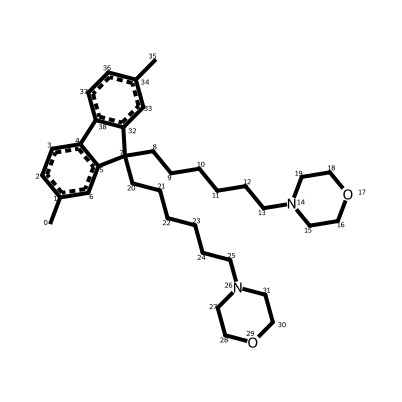 Cc1ccc2c(c1)C(CCCCCCN1CCOCC1)(CCCCCCN1CCOCC1)c1cc(C)ccc1-2